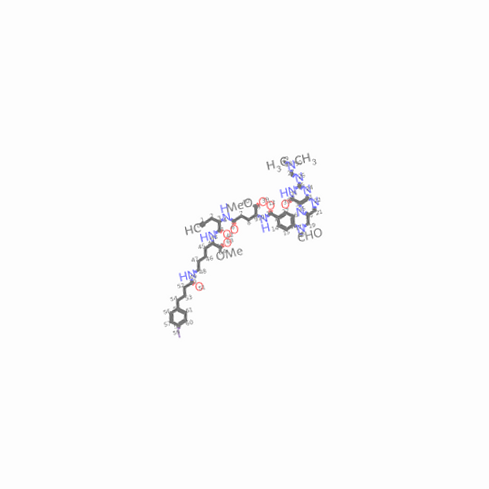 C#CCC(NC(=O)CCC(NC(=O)c1ccc(N(C=O)Cc2cnc3nc(/N=C/N(C)C)[nH]c(=O)c3n2)cc1)C(=O)OC)C(=O)NC(CCCCNC(=O)CCCc1ccc(I)cc1)C(=O)OC